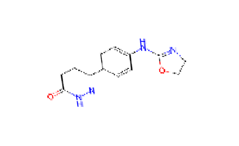 O=C1CCC(c2ccc(NC3=NCCO3)cc2)=NN1